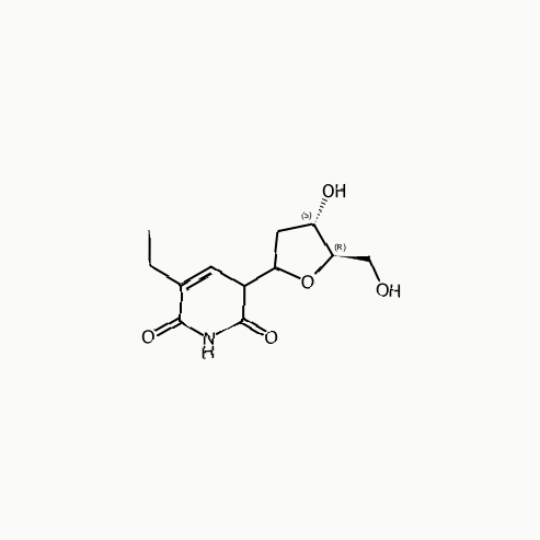 CCC1=CC(C2C[C@H](O)[C@@H](CO)O2)C(=O)NC1=O